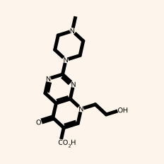 CN1CCN(c2ncc3c(=O)c(C(=O)O)cn(CCO)c3n2)CC1